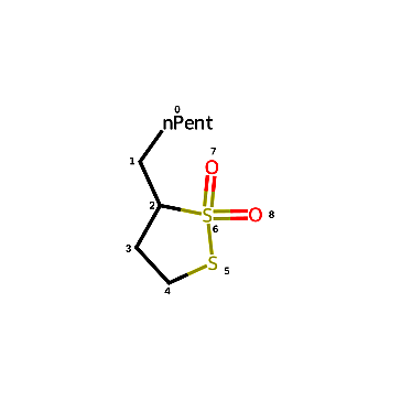 CCCCCCC1CCSS1(=O)=O